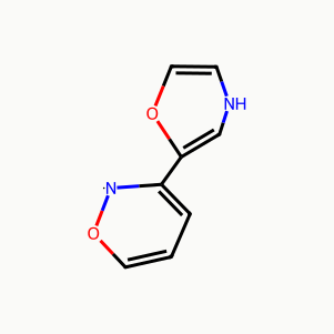 C1=CO[N]C(C2=CNC=CO2)=C1